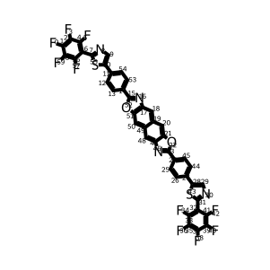 Fc1c(F)c(F)c(-c2ncc(-c3ccc(-c4nc5cc6cc7oc(-c8ccc(-c9cnc(-c%10c(F)c(F)c(F)c(F)c%10F)s9)cc8)nc7cc6cc5o4)cc3)s2)c(F)c1F